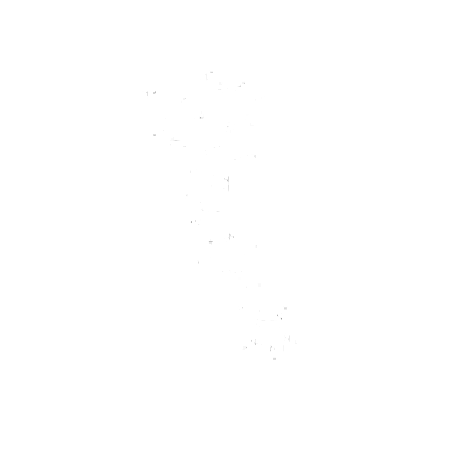 CC(NC(=O)C(C)(C)Oc1ccc(OCc2nn[nH]n2)cn1)C(Cc1ccc(Cl)cc1)c1cccc(Cl)c1